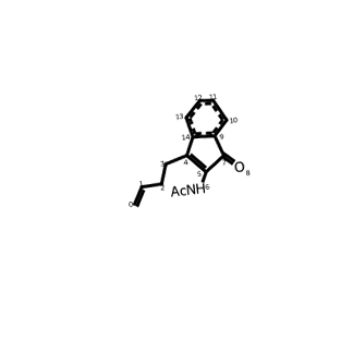 C=CCCC1=C(NC(C)=O)C(=O)c2ccccc21